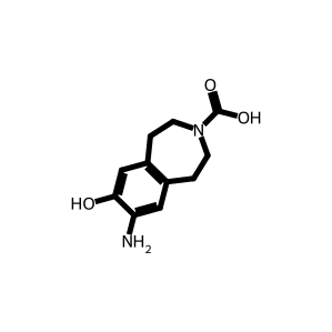 Nc1cc2c(cc1O)CCN(C(=O)O)CC2